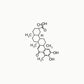 Cc1c(O)c(O)cc2c1C(=O)C=C1[C@@]2(C)CCC2[C@@H]3C[C@](C)(C(=O)O)CC[C@]3(C)CC[C@]12C